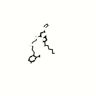 C=C(C)c1cc(C)ccc1CCCN(C)CCN(C)c1cc(N2CCC2)nc2cc(C(C)CCCCC)nn12